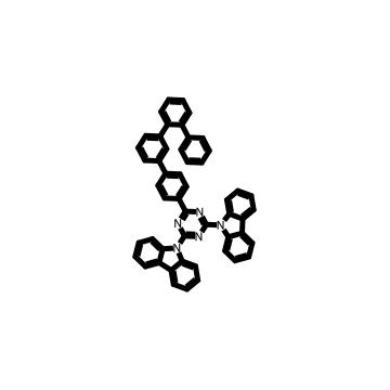 c1ccc(-c2ccccc2-c2cccc(-c3ccc(-c4nc(-n5c6ccccc6c6ccccc65)nc(-n5c6ccccc6c6ccccc65)n4)cc3)c2)cc1